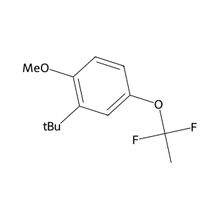 COc1ccc(OC(C)(F)F)cc1C(C)(C)C